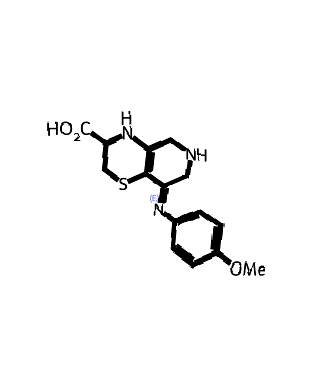 COc1ccc(/N=C2\CNCC3=C2SCC(C(=O)O)N3)cc1